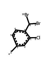 Clc1cc(I)ccc1C(Br)Br